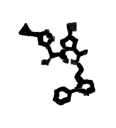 CC(C)(C)[C@@H](C(=O)N1CC(O)CC1C(=O)NCCc1ccnn1-c1ccccc1)n1cc(C2CC2)nn1